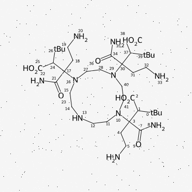 CC(C)(C)C(C(=O)O)C(CCN)(C(N)=O)N1CCNCCN(C(CCN)(C(N)=O)C(C(=O)O)C(C)(C)C)CCN(C(CCN)(C(N)=O)C(C(=O)O)C(C)(C)C)CC1